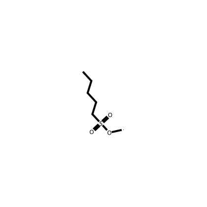 [CH2]OS(=O)(=O)CCCCC